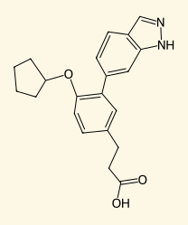 O=C(O)CCc1ccc(OC2CCCC2)c(-c2ccc3cn[nH]c3c2)c1